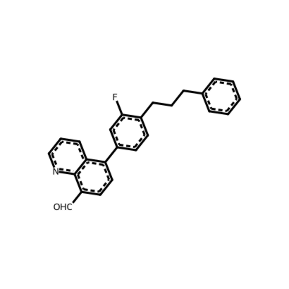 O=Cc1ccc(-c2ccc(CCCc3ccccc3)c(F)c2)c2cccnc12